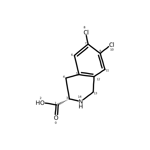 O=C(O)[C@@H]1Cc2cc(Cl)c(Cl)cc2CN1